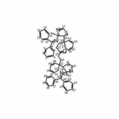 CC1(N=C(c2ccccc2)c2ccccc2)N=CSC1C1(CCC(=O)CCC2(C3SC=NC3(C)N=C(c3ccccc3)c3ccccc3)C=CC=CC2)C=CC=CC1